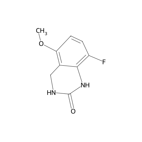 COc1ccc(F)c2c1CNC(=O)N2